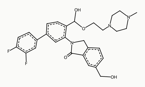 CN1CCN(CCOC(O)c2ccc(-c3ccc(F)c(F)c3)cc2N2Cc3ccc(CO)cc3C2=O)CC1